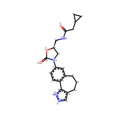 O=C(CC1CC1)NC[C@H]1CN(c2ccc3c(c2)CCCc2cn[nH]c2-3)C(=O)O1